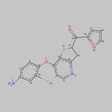 Nc1ccc(Oc2ccnc3c2SC(C(=O)c2ccco2)C3)c(F)c1